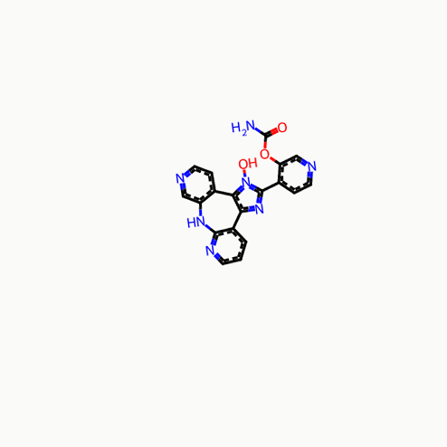 NC(=O)Oc1cnccc1-c1nc2c(n1O)-c1ccncc1Nc1ncccc1-2